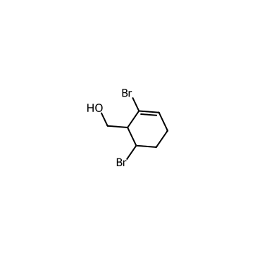 OCC1C(Br)=CCCC1Br